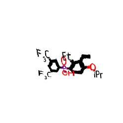 C=Cc1c(OC(C)C)ccc(P(=O)(O)c2cc(C(F)(F)F)cc(C(F)(F)F)c2)c1CC